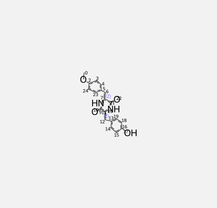 COc1ccc(/C=c2\[nH]c(=O)/c(=C/c3ccc(O)cc3)[nH]c2=O)cc1